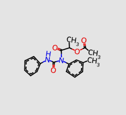 CC(=O)OC(C)C(=O)N(C(=O)Nc1ccccc1)c1cccc(C)c1